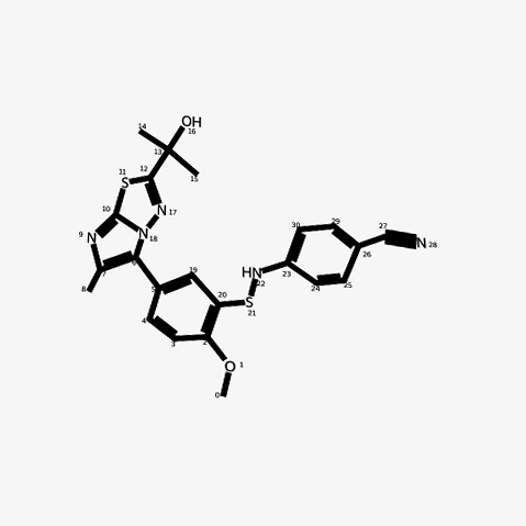 COc1ccc(-c2c(C)nc3sc(C(C)(C)O)nn23)cc1SNc1ccc(C#N)cc1